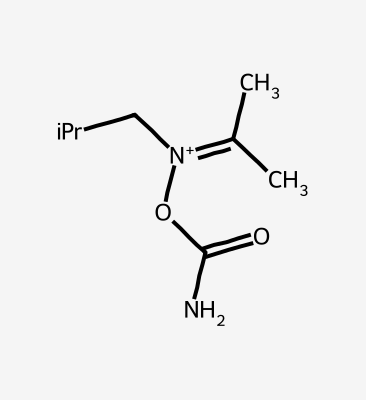 CC(C)=[N+](CC(C)C)OC(N)=O